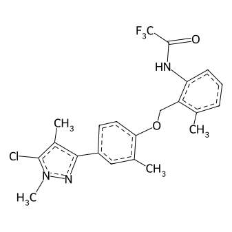 Cc1cc(-c2nn(C)c(Cl)c2C)ccc1OCc1c(C)cccc1NC(=O)C(F)(F)F